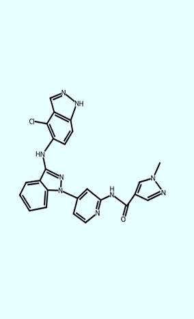 Cn1cc(C(=O)Nc2cc(-n3nc(Nc4ccc5[nH]ncc5c4Cl)c4ccccc43)ccn2)cn1